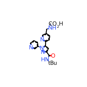 CC(C)(C)NC(=O)c1cc(-c2ccc(CNC(=O)O)cn2)n(-c2cccnc2)n1